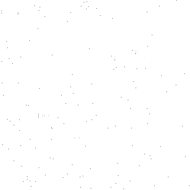 Nc1nc2ccc(C(=O)O)cc2c2c1CCO2